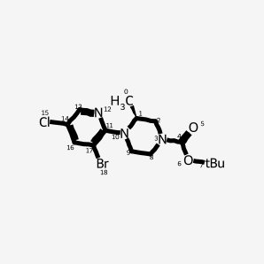 C[C@H]1CN(C(=O)OC(C)(C)C)CCN1c1ncc(Cl)cc1Br